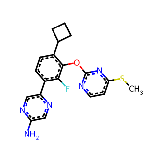 CSc1ccnc(Oc2c(C3CCC3)ccc(-c3cnc(N)cn3)c2F)n1